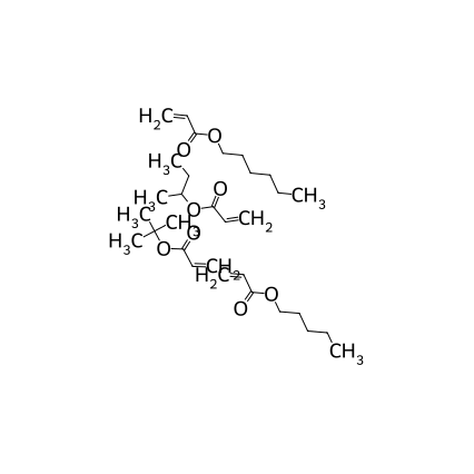 C=CC(=O)OC(C)(C)C.C=CC(=O)OC(C)CC.C=CC(=O)OCCCCC.C=CC(=O)OCCCCCC